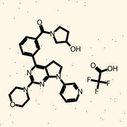 O=C(O)C(F)(F)F.O=C(c1cccc(-c2nc(N3CCOCC3)nc3c2CCN3c2cccnc2)c1)N1CCC(O)C1